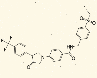 CCS(=O)(=O)c1ccc(CNC(=O)c2ccc(N3CC(=O)C(c4ccc(C(F)(F)F)cc4)C3)cc2)cc1